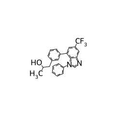 CC(O)Cc1cccc(-c2cc(C(F)(F)F)cc3ncn(-c4ccccc4)c23)c1